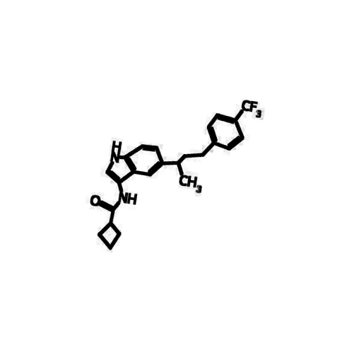 CC(CCc1ccc(C(F)(F)F)cc1)c1ccc2[nH]cc(NC(=O)C3CCC3)c2c1